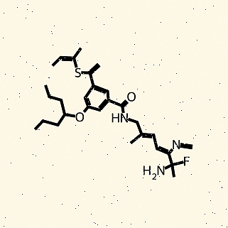 C=N/C(=C\C=C(/C)CNC(=O)c1cc(OC(CCC)CCC)cc(C(=C)S/C(C)=C\C)c1)C(C)(N)F